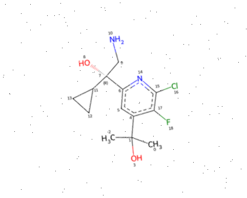 CC(C)(O)c1cc([C@](O)(CN)C2CC2)nc(Cl)c1F